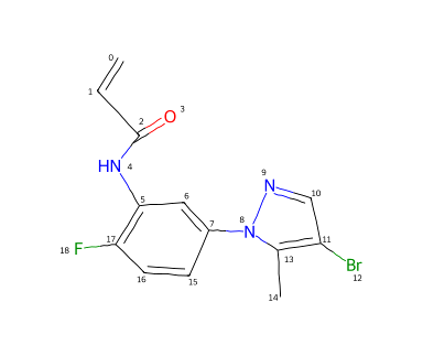 C=CC(=O)Nc1cc(-n2ncc(Br)c2C)ccc1F